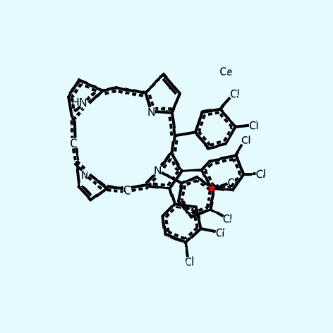 Clc1ccc(-c2c(-c3ccc(Cl)c(Cl)c3)c3c(-c4ccc(Cl)c(Cl)c4)c4nc(cc5ccc(cc6nc(cc2n3-c2ccc(Cl)c(Cl)c2)C=C6)[nH]5)C=C4)cc1Cl.[Ce]